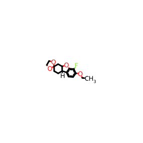 CCOc1ccc2c(c1F)OC1CC3(CC[C@@H]21)OCCO3